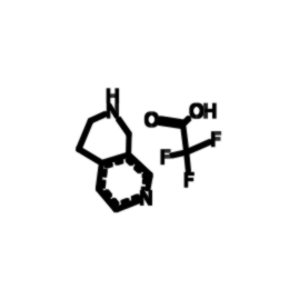 O=C(O)C(F)(F)F.c1cc2c(cn1)CNCC2